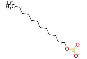 CCCCCCCCCCCCOS(=O)[O-].[Li+]